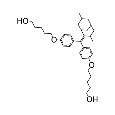 CC1CC2CC(C)C(=C(c3ccc(OCCCCCO)cc3)c3ccc(OCCCCCO)cc3)C(C1)C2